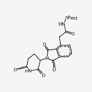 CCCCCNC(=O)Cc1cccc2c1C(=O)N(C1CCC(=O)NC1=O)C2=O